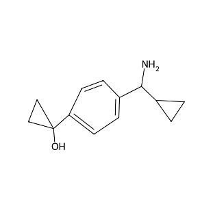 NC(c1ccc(C2(O)CC2)cc1)C1CC1